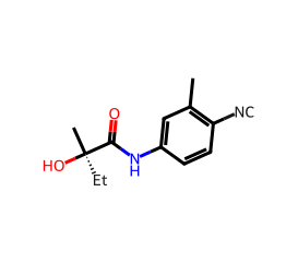 [C-]#[N+]c1ccc(NC(=O)[C@](C)(O)CC)cc1C